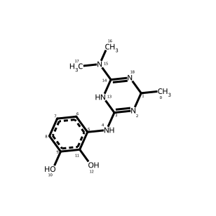 CC1N=C(Nc2cccc(O)c2O)NC(N(C)C)=N1